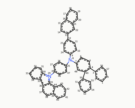 c1ccc(-c2ccc(N(c3ccc(-c4ccc5ccccc5c4)cc3)c3ccc(-n4c5ccccc5c5ccc6ccccc6c54)cc3)cc2-c2ccccc2)cc1